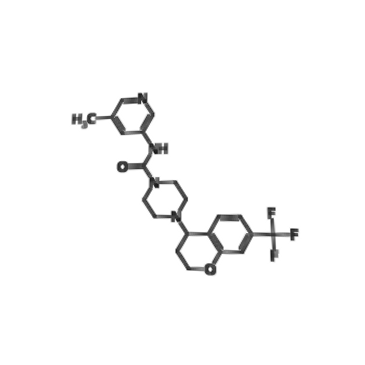 Cc1cncc(NC(=O)N2CCN(C3CCOc4cc(C(F)(F)F)ccc43)CC2)c1